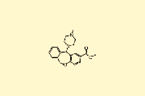 COC(=O)c1ccc2c(c1)C(N1CCN(C)CC1)c1ccccc1CO2